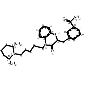 C[C@@H]1CCC[C@H](C)N1CCCCCN1C(=O)C(Cc2cccc(C(=N)N)c2)Sc2ccccc21